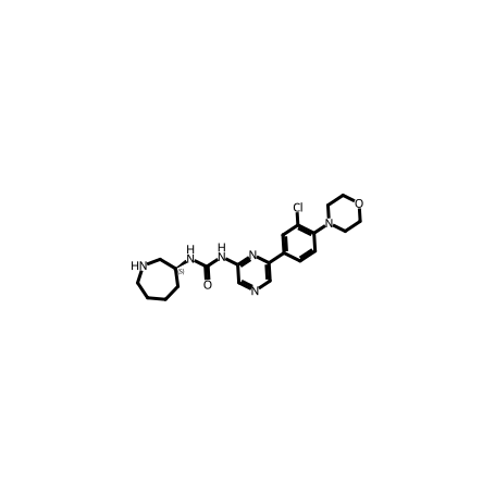 O=C(Nc1cncc(-c2ccc(N3CCOCC3)c(Cl)c2)n1)N[C@H]1CCCCNC1